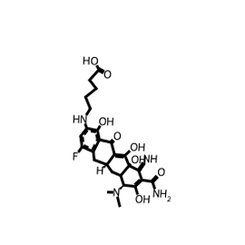 CN(C)[C@@H]1C(O)=C(C(N)=O)C(=N)[C@@]2(O)C(O)=C3C(=O)c4c(O)c(NCCCCC(=O)O)cc(F)c4C[C@H]3CC12